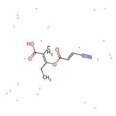 CCC(OC(=O)C=CC#N)=C(C)C(=O)O